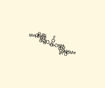 COC(=O)N[C@H](C(=O)N1CCCC1C(=O)Nc1ccc([C@H]2CC[C@H](c3ccc4[nH]c([C@@H]5CCCN5C(=O)[C@@H](NC(=O)OC)C(C)C)nc4c3)N2c2ccc(F)cc2)cc1)C(C)C